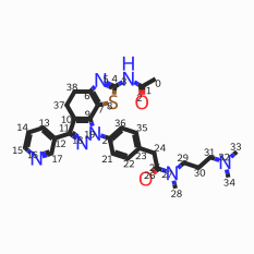 CC(=O)Nc1nc2c(s1)-c1c(c(-c3cccnc3)nn1-c1ccc(CC(=O)N(C)CCCN(C)C)cc1)CC2